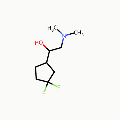 CN(C)CC(O)C1CCC(F)(F)C1